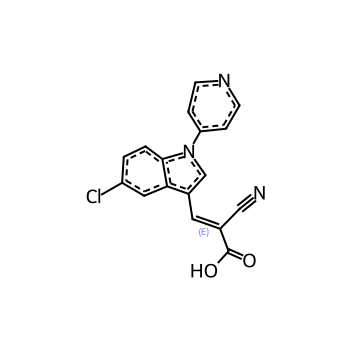 N#C/C(=C\c1cn(-c2ccncc2)c2ccc(Cl)cc12)C(=O)O